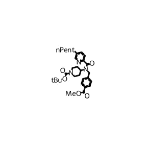 CCCCCc1ccc(C(=O)N(Cc2ccc(C(=O)OC)cc2)C2CCN(C(=O)OC(C)(C)C)CC2)nc1